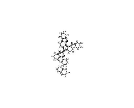 c1cc(-c2cccc3ccccc23)cc(-c2nc(-n3c4ccc5c6ccccc6sc5c4c4c5sc6ccccc6c5ccc43)nc3ccccc23)c1